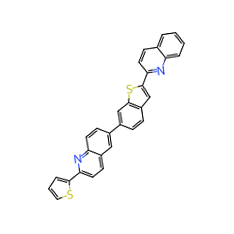 c1csc(-c2ccc3cc(-c4ccc5cc(-c6ccc7ccccc7n6)sc5c4)ccc3n2)c1